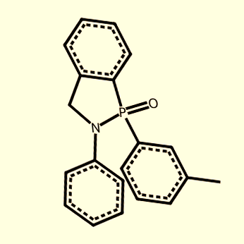 Cc1cccc(P2(=O)c3ccccc3CN2c2ccccc2)c1